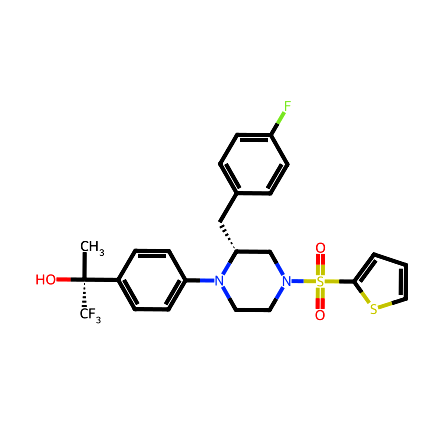 C[C@](O)(c1ccc(N2CCN(S(=O)(=O)c3cccs3)C[C@H]2Cc2ccc(F)cc2)cc1)C(F)(F)F